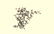 C=CCNC(=O)C(=O)C(NC(=O)[C@@H]1[C@@H]2[C@H](CN1C(=O)[C@@H](NC(=O)NC[C@@H](N(C)S(=O)(=O)c1ccccc1)C(C)(C)C)C1CCCCC1)C2(C)C)C1CCC1